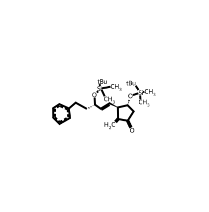 C=C1C(=O)C[C@@H](O[Si](C)(C)C(C)(C)C)[C@@H]1/C=C/[C@H](CCc1ccccc1)O[Si](C)(C)C(C)(C)C